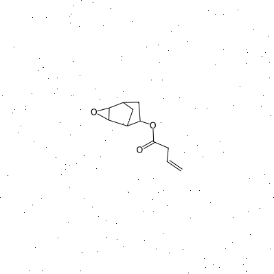 C=CCC(=O)OC1CC2CC1C1OC21